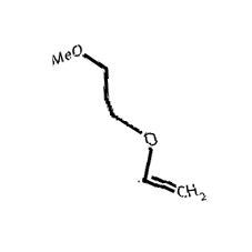 C=[C]OCCOC